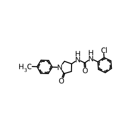 Cc1ccc(N2CC(NC(=O)Nc3ccccc3Cl)CC2=O)cc1